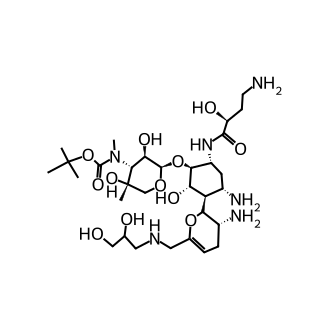 CN(C(=O)OC(C)(C)C)[C@@H]1[C@@H](O)[C@@H](O[C@@H]2[C@@H](O)[C@H](C3OC(CNCC(O)CO)=CC[C@H]3N)[C@@H](N)C[C@H]2NC(=O)[C@@H](O)CCN)OC[C@]1(C)O